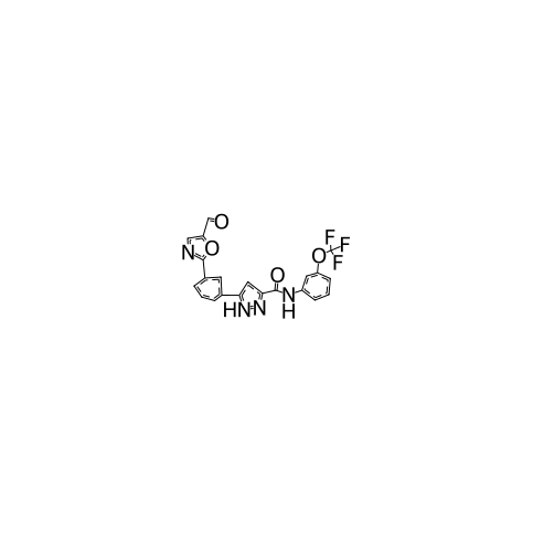 O=Cc1cnc(-c2cccc(-c3cc(C(=O)Nc4cccc(OC(F)(F)F)c4)n[nH]3)c2)o1